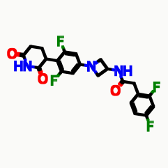 O=C1CCC(c2c(F)cc(N3CC(NC(=O)Cc4ccc(F)cc4F)C3)cc2F)C(=O)N1